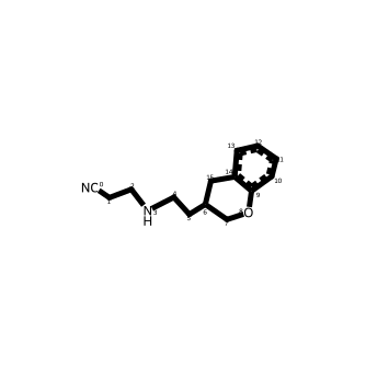 N#CCCNCCC1COc2ccccc2C1